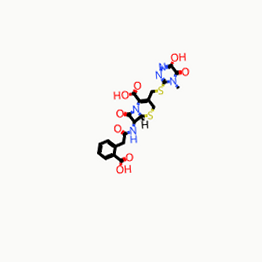 Cn1c(SCC2=C(C(=O)O)N3C(=O)C(NC(=O)Cc4ccccc4C(=O)O)[C@H]3SC2)nnc(O)c1=O